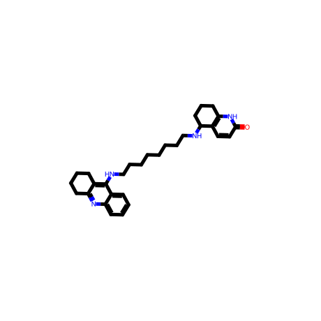 O=c1ccc2c([nH]1)CCCC2NCCCCCCCCNc1c2c(nc3ccccc13)CCCC2